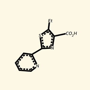 CCc1sc(-c2ccccn2)nc1C(=O)O